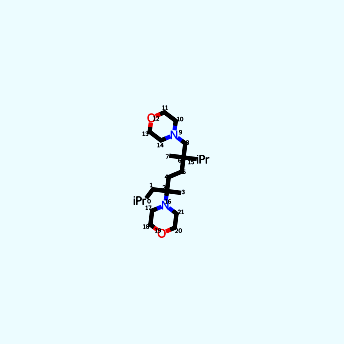 CC(C)CC(C)(CCC(C)(CN1CCOCC1)C(C)C)N1CCOCC1